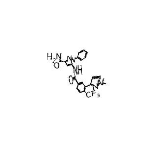 Cn1ccc(-c2cc(C(=O)Nc3cc(C(N)=O)nn3-c3ccccc3)ccc2C(F)(F)F)n1